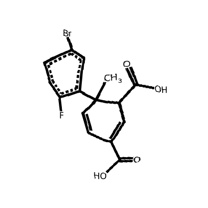 CC1(c2cc(Br)ccc2F)C=CC(C(=O)O)=CC1C(=O)O